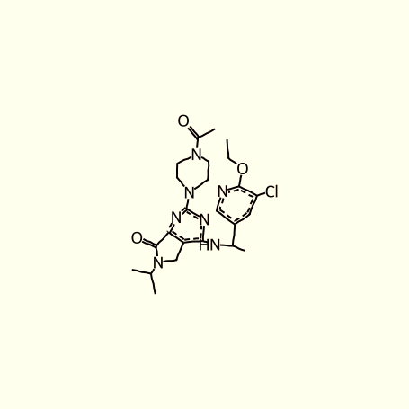 CCOc1ncc(C(C)Nc2nc(N3CCN(C(C)=O)CC3)nc3c2CN(C(C)C)C3=O)cc1Cl